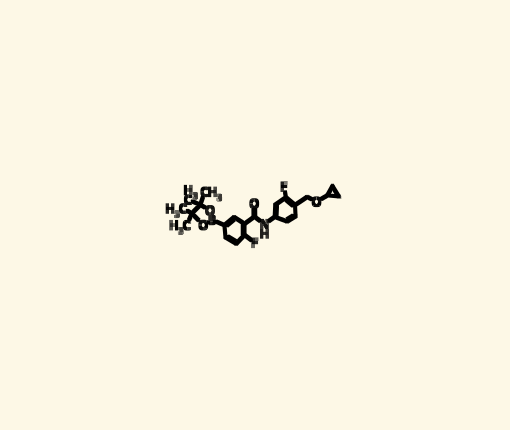 CC1(C)OB(c2ccc(F)c(C(=O)Nc3ccc(COC4CC4)c(F)c3)c2)OC1(C)C